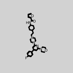 O=C(NC1CCC(CCN2CCN(c3cc(-c4ccc(F)cc4)cc(N4CCOCC4)n3)CC2)CC1)c1ccco1